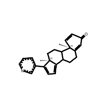 C[C@]12CCC3C(CCC4=CC(=O)C=C[C@@]43C)C1=CC=C2c1cccnc1